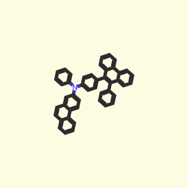 c1ccc(-c2c(-c3ccc(N(c4ccccc4)c4ccc5c(ccc6ccccc65)c4)cc3)c3ccccc3c3ccccc23)cc1